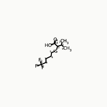 CC(C)C(SCCCCC(F)(F)F)C(=O)O